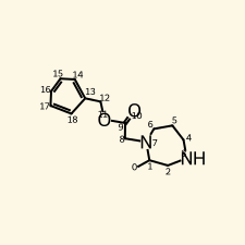 CC1CNCCCN1CC(=O)OCc1ccccc1